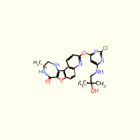 C[C@@H]1CNc2c(oc3ccc4nc(Oc5cc(NCC(C)(C)O)nc(Cl)n5)ccc4c23)C(=O)N1